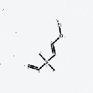 C=C[Si](C)(C)C=COCC